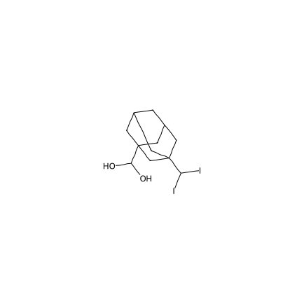 OC(O)C12CC3CC(C1)CC(C(I)I)(C3)C2